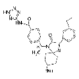 C[C@H](c1ccc(C(=O)Nc2nn[nH]n2)cc1)N1C(=O)C(c2cccc(CI)c2)=NC12CCC(C(C)(C)C)CC2